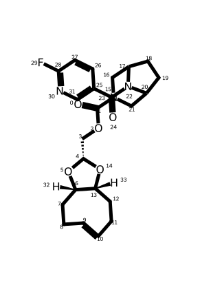 O=C(OC[C@H]1O[C@H]2CC/C=C/CC[C@H]2O1)N1CC2CCC(C1)N2C(=O)c1ccc(F)nc1